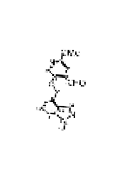 COc1cc(C=O)c(OCc2cccc3c2cnn3C)cn1